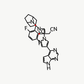 N#CCC1(n2cc(-c3ncnc4[nH]ccc34)cn2)CN(C2CC3CCC(C2)N3Cc2c(F)ccc(F)c2Cl)C1